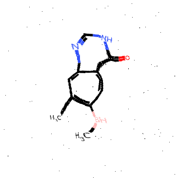 CBc1cc2c(=O)[nH]cnc2cc1C